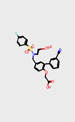 N#Cc1cccc(-c2cc(CN(CCO)S(=O)(=O)c3ccc(F)cc3)ccc2OCC(=O)O)c1